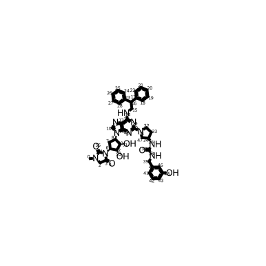 CN1CC(=O)N([C@H]2C[C@@H](n3cnc4c(NCC(c5ccccc5)c5ccccc5)nc(N5CCC(NC(=O)NCc6cccc(O)c6)C5)nc43)[C@H](O)[C@@H]2O)C1=O